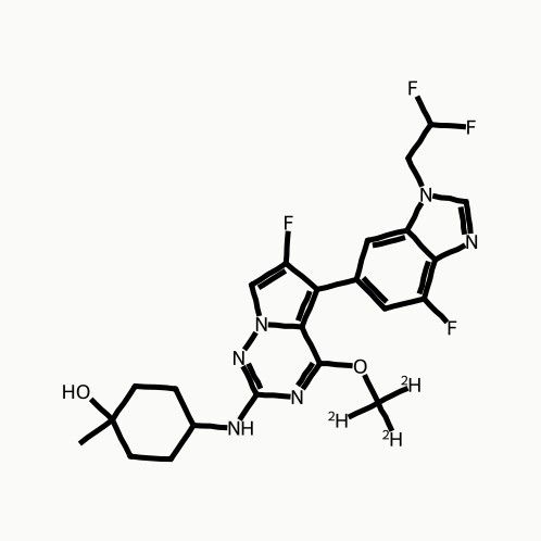 [2H]C([2H])([2H])Oc1nc(NC2CCC(C)(O)CC2)nn2cc(F)c(-c3cc(F)c4ncn(CC(F)F)c4c3)c12